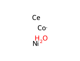 O.[Ce].[Co].[Ni]